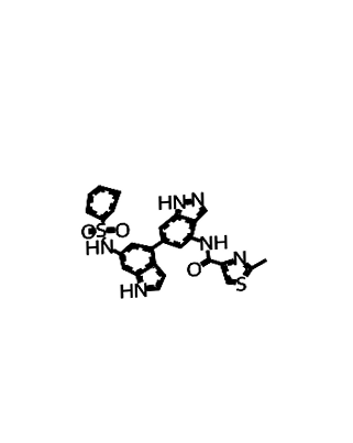 Cc1nc(C(=O)Nc2cc(-c3cc(NS(=O)(=O)c4ccccc4)cc4[nH]ccc34)cc3[nH]ncc23)cs1